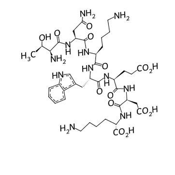 C[C@@H](O)[C@H](N)C(=O)N[C@@H](CC(N)=O)C(=O)N[C@@H](CCCCN)C(=O)N[C@@H](Cc1c[nH]c2ccccc12)C(=O)N[C@@H](CCC(=O)O)C(=O)N[C@@H](CC(=O)O)C(=O)N[C@@H](CCCCN)C(=O)O